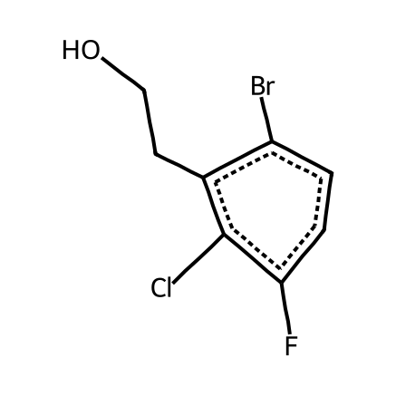 OCCc1c(Br)ccc(F)c1Cl